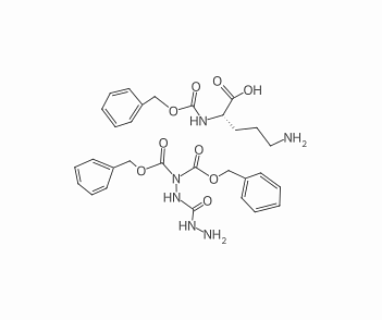 NCCC[C@H](NC(=O)OCc1ccccc1)C(=O)O.NNC(=O)NN(C(=O)OCc1ccccc1)C(=O)OCc1ccccc1